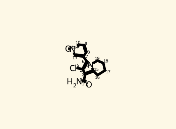 NC(=O)c1c(Cl)c(-c2ccc[n+]([O-])c2)n2c1CCCC2